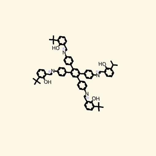 CC(C)c1cccc(/C=N/c2ccc(-c3cc(-c4ccc(/N=C/c5cccc(C(C)(C)C)c5O)cc4)c(-c4ccc(/N=C/c5cccc(C(C)(C)C)c5O)cc4)cc3-c3ccc(/N=C/c4cccc(C(C)(C)C)c4O)cc3)cc2)c1O